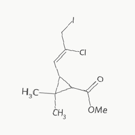 COC(=O)C1C(/C=C(\Cl)CI)C1(C)C